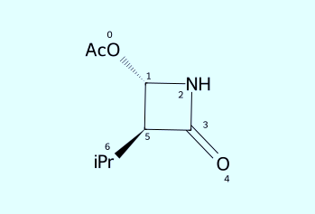 CC(=O)O[C@@H]1NC(=O)[C@H]1C(C)C